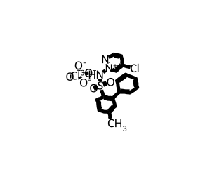 Cc1ccc(S(=O)(=O)N[n+]2cc(Cl)ccn2)c(-c2ccccc2)c1.[O-][Cl+3]([O-])([O-])[O-]